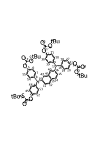 CC(C)(C)OC(=O)Oc1ccc(C(C2=C=C=c3ccc(C(c4ccc(OC(=O)OC(C)(C)C)cc4)c4ccc(OC(=O)OC(C)(C)C)cc4)cc3=C2)c2ccc(OC(=O)SC(C)(C)C)cc2)cc1